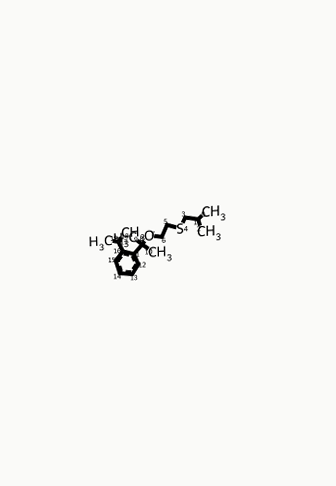 CC(C)CSCCOC(C)(C)c1ccccc1C(C)C